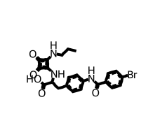 CCCNc1c(NC(Cc2ccc(NC(=O)c3ccc(Br)cc3)cc2)C(=O)O)c(=O)c1=O